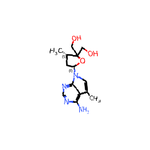 Cc1cn([C@H]2C[C@H](C)C(CO)(CO)O2)c2ncnc(N)c12